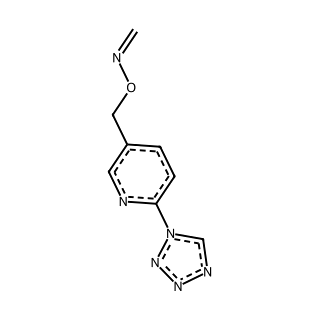 C=NOCc1ccc(-n2cnnn2)nc1